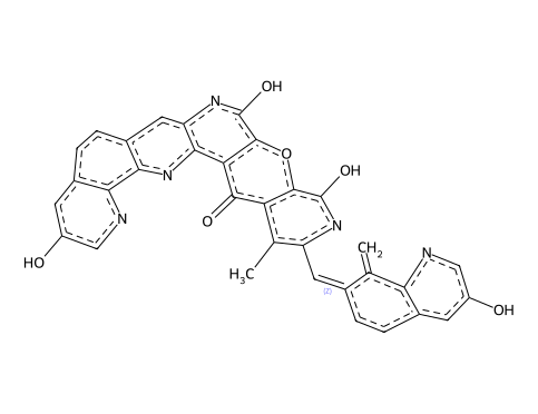 C=c1/c(=C\c2nc(O)c3oc4c(O)nc5cc6ccc7cc(O)cnc7c6nc5c4c(=O)c3c2C)ccc2cc(O)cnc12